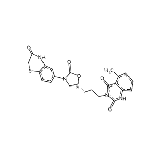 Cc1cccc2[nH]c(=O)n(CCC[C@@H]3CN(c4ccc5c(c4)NC(=O)CS5)C(=O)O3)c(=O)c12